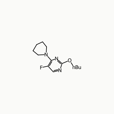 CCCCOc1ncc(F)c(N2CCCCC2)n1